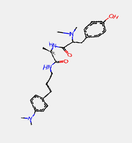 C[C@@H](NC(=O)C(Cc1ccc(O)cc1)N(C)C)C(=O)NCCCc1ccc(N(C)C)cc1